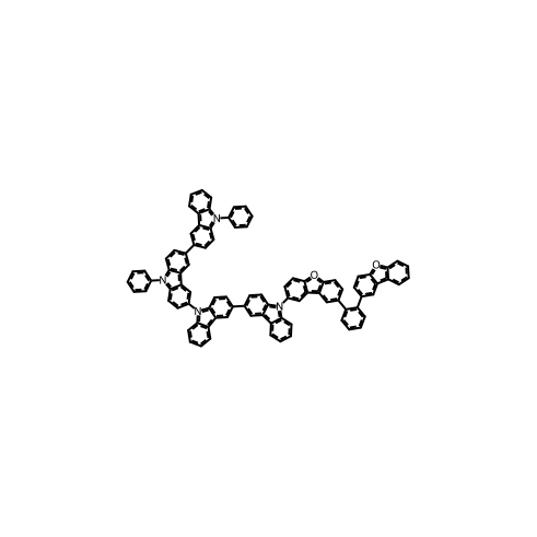 c1ccc(-n2c3ccccc3c3cc(-c4ccc5c(c4)c4cc(-n6c7ccccc7c7cc(-c8ccc9c(c8)c8ccccc8n9-c8ccc9oc%10ccc(-c%11ccccc%11-c%11ccc%12oc%13ccccc%13c%12c%11)cc%10c9c8)ccc76)ccc4n5-c4ccccc4)ccc32)cc1